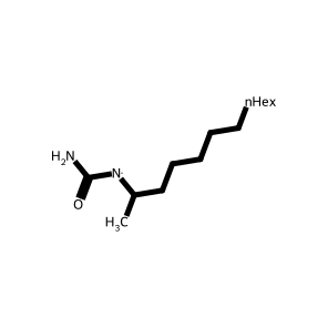 CCCCCCCCCCCC(C)[N]C(N)=O